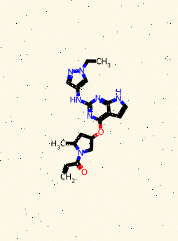 C=CC(=O)N1CC(Oc2nc(Nc3cnn(CC)c3)nc3[nH]ccc23)CC1C